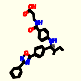 CCC(C)[C@H](Nc1ccc(C(=O)NCCC(=O)O)cc1)c1ccc(-c2nc(-c3ccccc3)no2)cc1